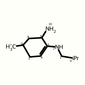 CC(C)CNC1=CCC(C)CC1N